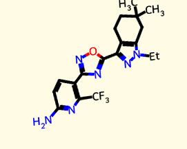 CCn1nc(-c2nc(-c3ccc(N)nc3C(F)(F)F)no2)c2c1CC(C)(C)CC2